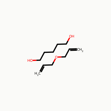 C=CCOCC=C.OCCCCCO